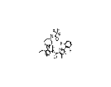 CCn1ncc(NC(=O)c2nc(-c3c(F)cccc3F)sc2C)c1N1CCCC(NC(=O)C(F)(F)F)CC1